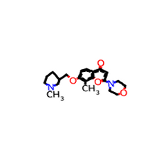 Cc1c(OCC2CCCN(C)C2)ccc2c(=O)cc(N3CCOCC3)oc12